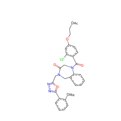 COc1ccccc1-c1nnc(CN2Cc3ccccc3N(C(=O)c3ccc(OCCOC(C)=O)cc3Cl)CC2=O)o1